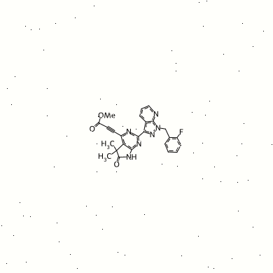 COC(=O)C#Cc1nc(-c2nn(Cc3ccccc3F)c3ncccc23)nc2c1C(C)(C)C(=O)N2